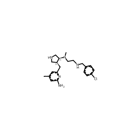 Cc1cc(N)nc(C[C@H]2CNC[C@H]2N(C)CCNCc2ccc(Cl)cc2)c1